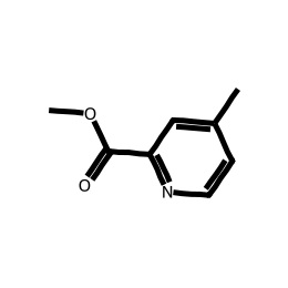 COC(=O)c1cc(C)ccn1